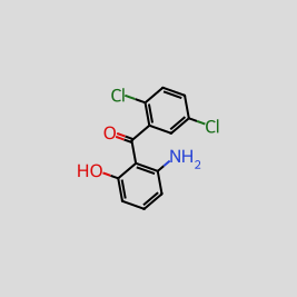 Nc1cccc(O)c1C(=O)c1cc(Cl)ccc1Cl